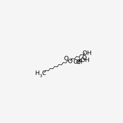 CCCCCCCCCCCC(=O)OCC(O)CC(CC(=O)O)C(=O)O